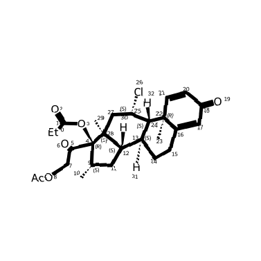 CCC(=O)O[C@]1(C(=O)COC(C)=O)[C@@H](C)C[C@H]2[C@@H]3CCC4=CC(=O)C=C[C@]4(C)[C@H]3[C@@H](Cl)C[C@@]21C